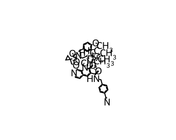 COc1ccc(CN(CCO[Si](C)(C)C(C)(C)C)S(=O)(=O)C2(COc3nccc4cc(C(=O)NCc5ccc(C#N)cc5)c(=O)n(C)c34)CC2)cc1